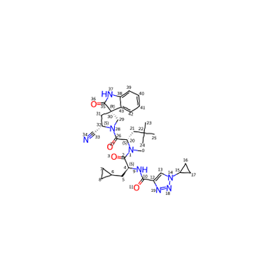 CN(C(=O)[C@H](CC1CC1)NC(=O)c1cn(C2CC2)nn1)[C@@H](CC(C)(C)C)C(=O)N1C[C@]2(C[C@H]1C#N)C(=O)Nc1ccccc12